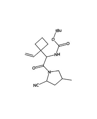 C=CC1(C(NC(=O)OC(C)(C)C)C(=O)N2CC(C)CC2C#N)CCC1